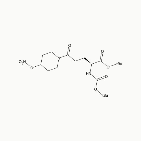 CC(C)(C)OC(=O)N[C@@H](CCC(=O)N1CCC(O[N+](=O)[O-])CC1)C(=O)OC(C)(C)C